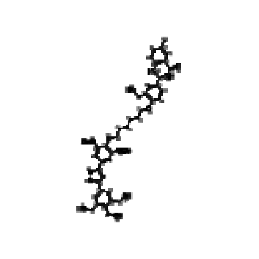 COc1cc(-c2cc(-c3cc(CO)c(CO)c(CO)c3)no2)cc(OC)c1OCCCCCCOc1ccc(C2NC(=O)c3cc(C)ccc3N2)cc1CO